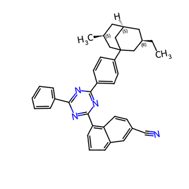 CC[C@@H]1C[C@@H]2C[C@H](C)CC(c3ccc(-c4nc(-c5ccccc5)nc(-c5cccc6cc(C#N)ccc56)n4)cc3)(C1)C2